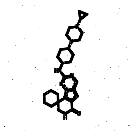 O=C1NCC2(CCCCC2)n2c1cc1cnc(NC3CCC(N4CCN(C5CC5)CC4)CC3)nc12